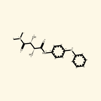 CN(C)C(=O)[C@H](O)[C@@H](O)C(=O)Nc1ccc(Oc2ccccc2)cc1